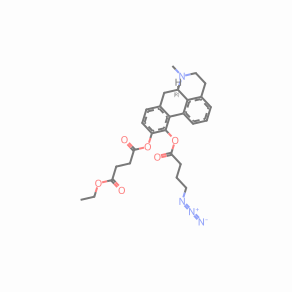 CCOC(=O)CCC(=O)Oc1ccc2c(c1OC(=O)CCCN=[N+]=[N-])-c1cccc3c1[C@@H](C2)N(C)CC3